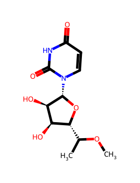 COC(C)[C@H]1O[C@@H](n2ccc(=O)[nH]c2=O)[C@H](O)[C@@H]1O